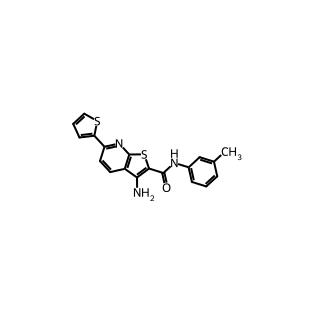 Cc1cccc(NC(=O)c2sc3nc(-c4cccs4)ccc3c2N)c1